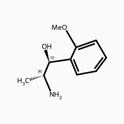 COc1ccccc1[C@H](O)[C@@H](C)N